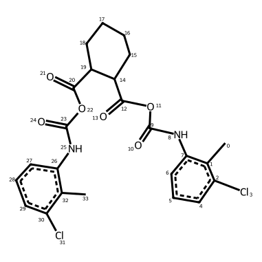 Cc1c(Cl)cccc1NC(=O)OC(=O)C1CCCCC1C(=O)OC(=O)Nc1cccc(Cl)c1C